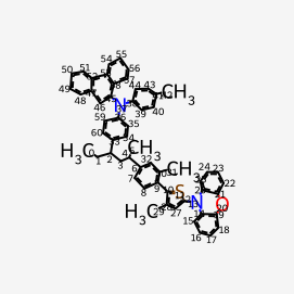 CCC(CC(C)c1ccc(-c2sc(N3c4ccccc4Oc4ccccc43)cc2C)c(C)c1)c1ccc(N(c2ccc(C)cc2)c2cc3ccccc3c3ccccc23)cc1